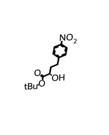 CC(C)(C)OC(=O)[C@H](O)CCc1ccc([N+](=O)[O-])cc1